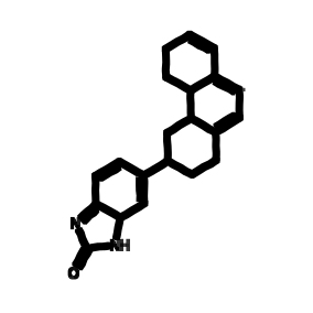 O=C1N=C2C=CC(C3CCC4=C[C]=C5C=CCCC5C4C3)=CC2N1